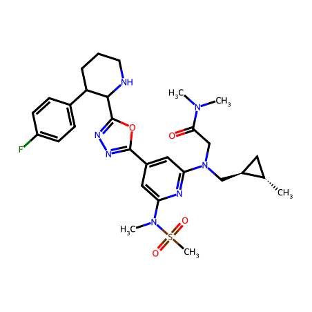 C[C@H]1C[C@@H]1CN(CC(=O)N(C)C)c1cc(-c2nnc(C3NCCCC3c3ccc(F)cc3)o2)cc(N(C)S(C)(=O)=O)n1